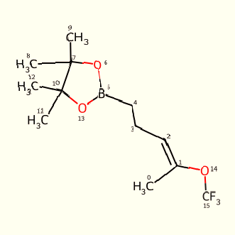 C/C(=C\CCB1OC(C)(C)C(C)(C)O1)OC(F)(F)F